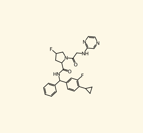 O=C(NC(c1ccccc1)c1ccc(C2CC2)c(F)c1)C1CC(F)CN1C(=O)CNc1cnccn1